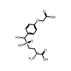 N[C@@H](CCP(=O)(O)C(O)c1ccc(OCC(=O)O)cc1)C(=O)O